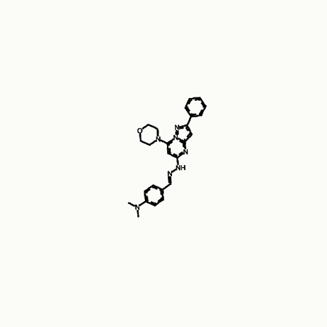 CN(C)c1ccc(/C=N/Nc2cc(N3CCOCC3)n3nc(-c4ccccc4)cc3n2)cc1